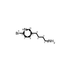 NCCCCc1ccc(Br)nc1